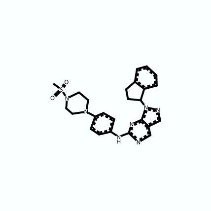 CS(=O)(=O)N1CCN(c2ccc(Nc3ncc4cnn(C5CCc6ccccc65)c4n3)cc2)CC1